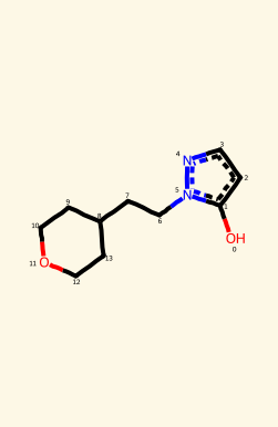 Oc1ccnn1CCC1CCOCC1